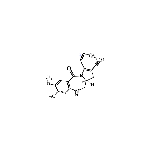 C#CC1=C(/C=C\C)N2C(=O)c3cc(OC)c(O)cc3NC[C@@H]2C1